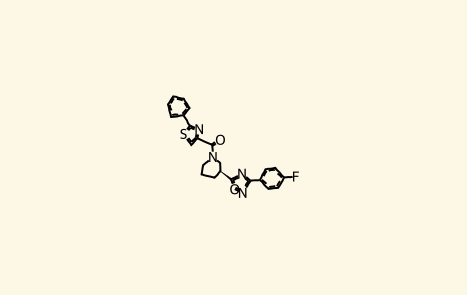 O=C(c1csc(-c2ccccc2)n1)N1CCC[C@H](c2nc(-c3ccc(F)cc3)no2)C1